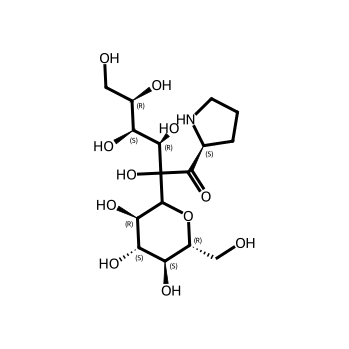 O=C([C@@H]1CCCN1)C(O)(C1O[C@H](CO)[C@@H](O)[C@H](O)[C@H]1O)[C@H](O)[C@@H](O)[C@H](O)CO